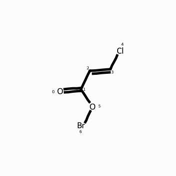 O=C(C=CCl)OBr